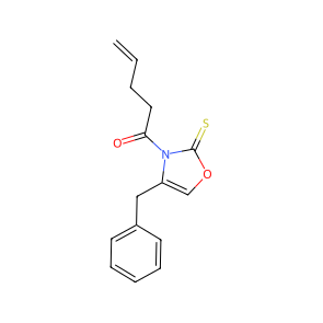 C=CCCC(=O)n1c(Cc2ccccc2)coc1=S